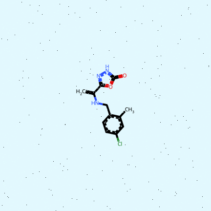 C=C(NCc1ccc(Cl)cc1C)c1n[nH]c(=O)o1